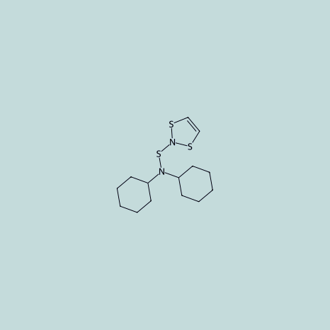 C1=CSN(SN(C2CCCCC2)C2CCCCC2)S1